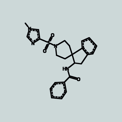 Cn1cnc(S(=O)(=O)N2CCC3(CC2)c2ccccc2CC3NC(=O)c2ccccc2)c1